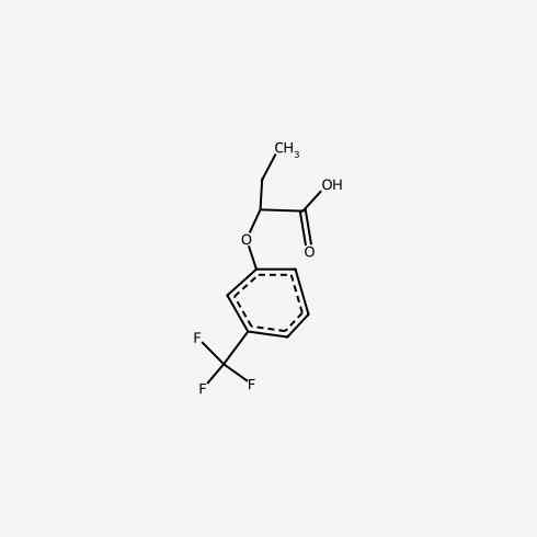 CCC(Oc1cccc(C(F)(F)F)c1)C(=O)O